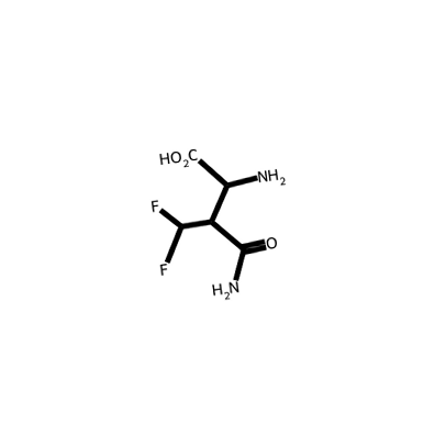 NC(=O)C(C(F)F)C(N)C(=O)O